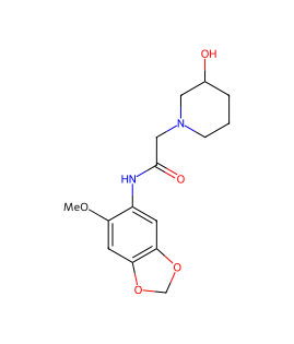 COc1cc2c(cc1NC(=O)CN1CCCC(O)C1)OCO2